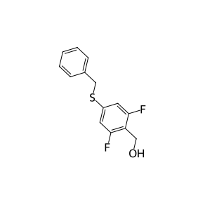 OCc1c(F)cc(SCc2ccccc2)cc1F